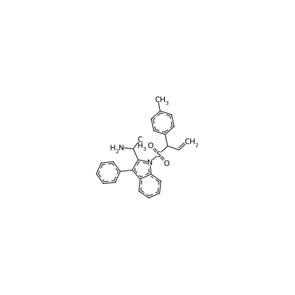 C=CC(c1ccc(C)cc1)S(=O)(=O)n1c(C(C)N)c(-c2ccccc2)c2ccccc21